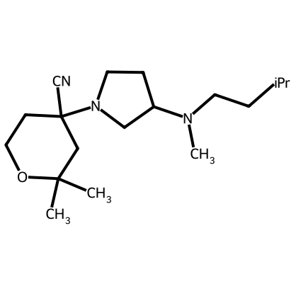 CC(C)CCN(C)C1CCN(C2(C#N)CCOC(C)(C)C2)C1